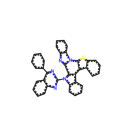 c1ccc(-c2nc(-n3c4ccccc4c4c5c6ccccc6sc5n5c6ccccc6nc5c43)nc3ccccc23)cc1